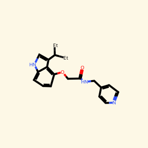 CCC(CC)c1c[nH]c2cccc(OCC(=O)NCc3ccncc3)c12